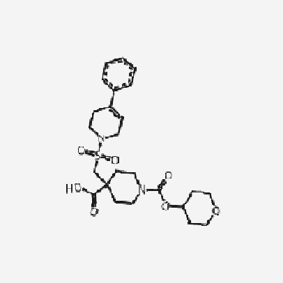 O=C(OC1CCOCC1)N1CCC(CS(=O)(=O)N2CC=C(c3ccccc3)CC2)(C(=O)O)CC1